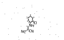 N#CC(C#N)=CNc1ccccc1Cl